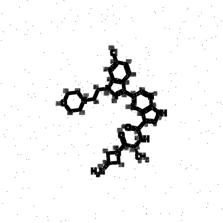 C[C@@H](NC(=O)c1c[nH]c2ncc(-c3nn(CCN4CCOCC4)c4cc(Cl)ccc34)nc12)C(=O)N1CC(N)C1